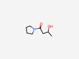 CC(O)CC(=O)N1CCCC1